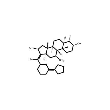 CC(=O)O[C@H]1C[C@@]2(C)[C@@H](C[C@H](N)[C@H]3[C@@]4(C)CC[C@@H](O)[C@@H](C)[C@@H]4CC[C@@]32C)/C1=C(/C(C)=O)C1CCCC(=C2CCCC2)C1